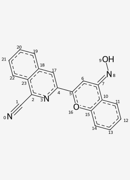 N#Cc1nc(-c2cc(=NO)c3ccccc3o2)cc2ccccc12